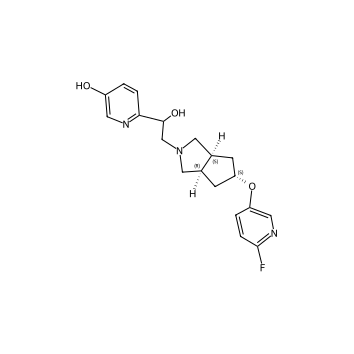 Oc1ccc(C(O)CN2C[C@H]3C[C@H](Oc4ccc(F)nc4)C[C@H]3C2)nc1